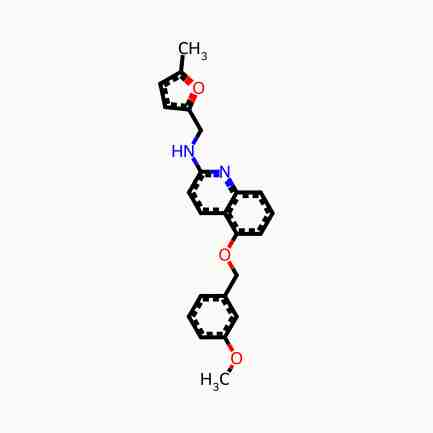 COc1cccc(COc2cccc3nc(NCc4ccc(C)o4)ccc23)c1